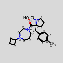 O=C(O)N1CCC[C@]1(Cc1ccc(C(F)(F)F)cc1)C(=O)N1CCCN(C2CCC2)CC1